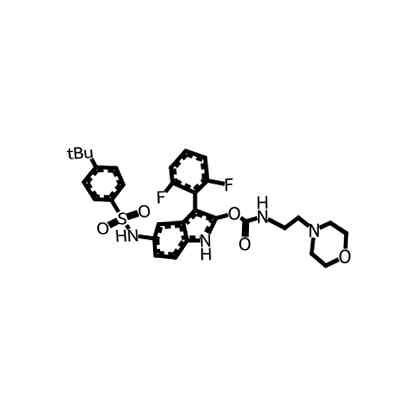 CC(C)(C)c1ccc(S(=O)(=O)Nc2ccc3[nH]c(OC(=O)NCCN4CCOCC4)c(-c4c(F)cccc4F)c3c2)cc1